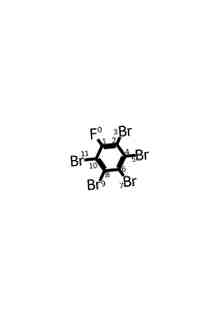 Fc1c(Br)c(Br)c(Br)c(Br)c1Br